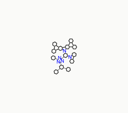 c1ccc(-c2cc(-c3ccccc3)cc(-c3nc(-c4ccccc4)nc(-c4cc(-n5c6ccccc6c6ccccc65)cc(-n5c6cc7c8ccccc8c8ccccc8c7cc6c6cc7c8ccccc8c8ccccc8c7cc65)c4)n3)c2)cc1